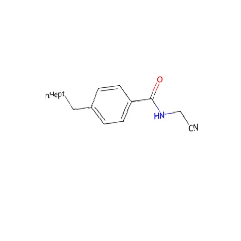 CCCCCCCCc1ccc(C(=O)NCC#N)cc1